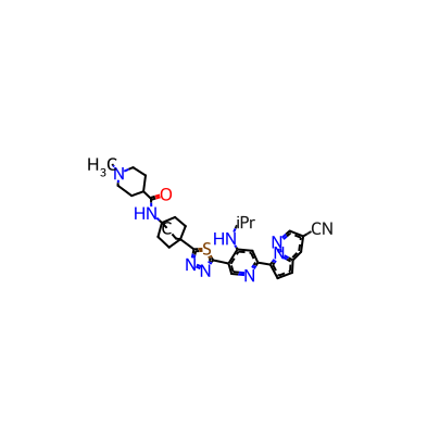 CC(C)Nc1cc(-c2ccc3cc(C#N)cnn23)ncc1-c1nnc(C23CCC(NC(=O)C4CCN(C)CC4)(CC2)CC3)s1